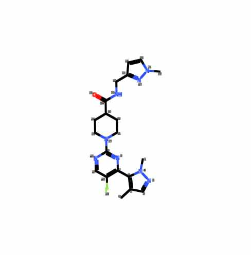 Cc1cnn(C)c1-c1nc(N2CCC(C(=O)NCc3ccn(C)n3)CC2)ncc1F